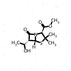 COC(=O)[C@@H]1N2C(=O)[C@@H](C(C)O)[C@H]2SC1(C)C